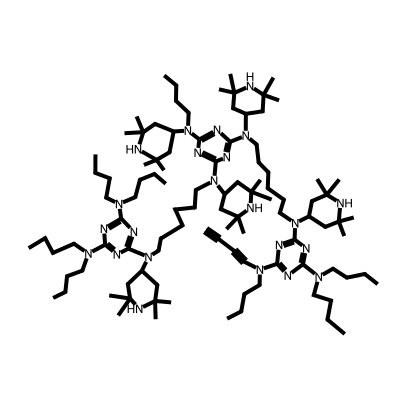 C#CC#CN(CCCC)c1nc(N(CCCC)CCCC)nc(N(CCCCCCN(c2nc(N(CCCC)C3CC(C)(C)NC(C)(C)C3)nc(N(CCCCCCN(c3nc(N(CCCC)CCCC)nc(N(CCCC)CCCC)n3)C3CC(C)(C)NC(C)(C)C3)C3CC(C)(C)NC(C)(C)C3)n2)C2CC(C)(C)NC(C)(C)C2)C2CC(C)(C)NC(C)(C)C2)n1